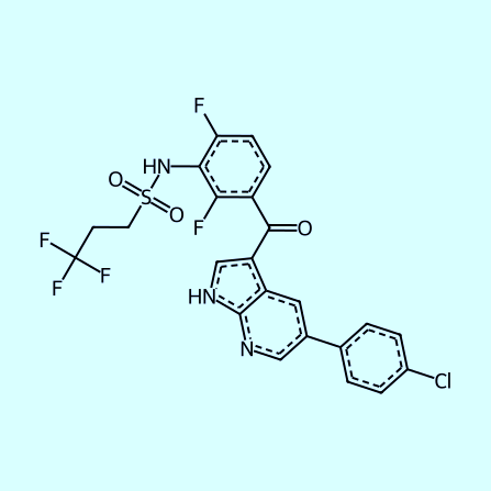 O=C(c1ccc(F)c(NS(=O)(=O)CCC(F)(F)F)c1F)c1c[nH]c2ncc(-c3ccc(Cl)cc3)cc12